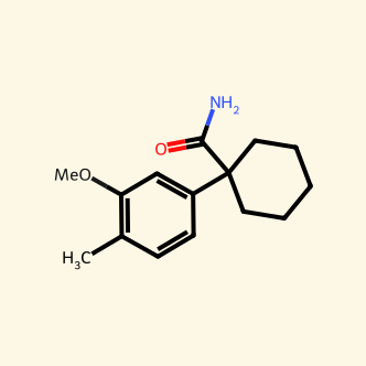 COc1cc(C2(C(N)=O)CCCCC2)ccc1C